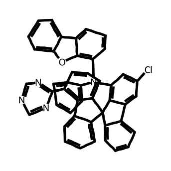 Clc1cc2c(c(N(c3ccccc3)c3cccc4c3oc3ccccc34)c1)C1(c3ccccc3-2)c2ccccc2-c2c(-c3ncncn3)cccc21